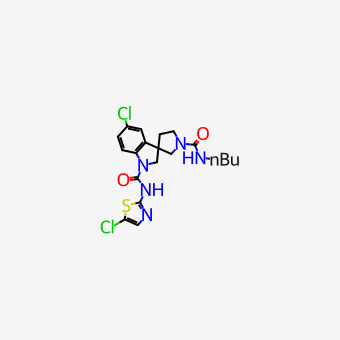 CCCCNC(=O)N1CCC2(C1)CN(C(=O)Nc1ncc(Cl)s1)c1ccc(Cl)cc12